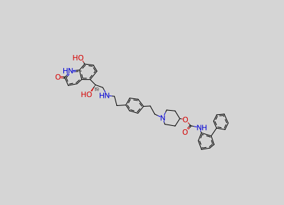 O=C(Nc1ccccc1-c1ccccc1)OC1CCN(CCc2ccc(CCNC[C@@H](O)c3ccc(O)c4[nH]c(=O)ccc34)cc2)CC1